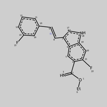 CCOC(=N)c1cc2c(/C=C/c3cccc(F)c3)n[nH]c2cc1F